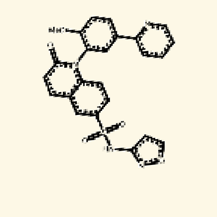 COc1ccc(-c2ccccn2)cc1-n1c(=O)ccc2cc(S(=O)(=O)Nc3ccon3)ccc21